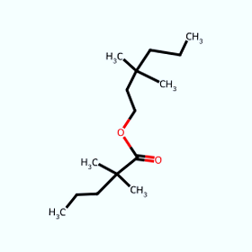 CCCC(C)(C)CCOC(=O)C(C)(C)CCC